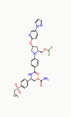 CCS(=O)(=O)c1ccc([C@H](COC(N)=O)NC(=O)c2ccc(N3C[C@@H](Oc4ccc(-n5cccn5)cn4)C[C@H]3COC(F)F)cc2)cc1